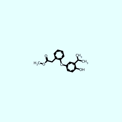 COC(=O)Cc1ccccc1Oc1ccc(O)c(C(C)C)c1